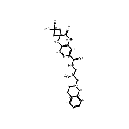 O=C(NCC(O)CN1CCc2ccccc2C1)c1cnc2c(c1)NC(=O)C1(CC(F)(F)C1)O2